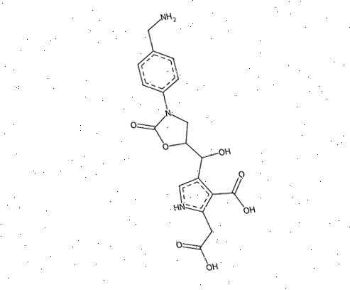 NCc1ccc(N2CC(C(O)c3c[nH]c(CC(=O)O)c3C(=O)O)OC2=O)cc1